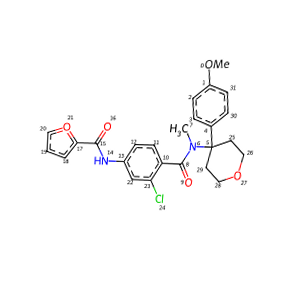 COc1ccc(C2(N(C)C(=O)c3ccc(NC(=O)c4ccco4)cc3Cl)CCOCC2)cc1